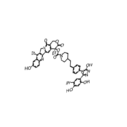 CCc1c2c(nc3ccc(O)cc13)-c1cc3c(c(=O)n1C2)COC(=O)[C@@]3(CC)OC(=O)N1CCC(CCc2ccc(-n3c(O)nnc3-c3cc(C(C)C)c(O)cc3O)cc2)CC1